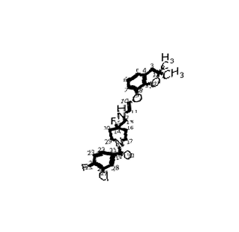 CC1(C)Cc2cccc(OCCNCC3(F)CCN(C(=O)c4ccc(F)c(Cl)c4)CC3)c2O1